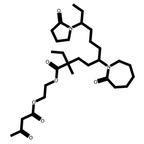 CCC(CCCC(CCC(C)(CC)C(=O)OCCOC(=O)CC(C)=O)N1CCCCCC1=O)N1CCCC1=O